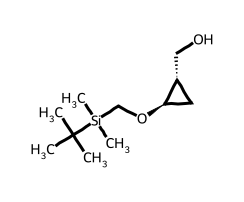 CC(C)(C)[Si](C)(C)CO[C@@H]1C[C@H]1CO